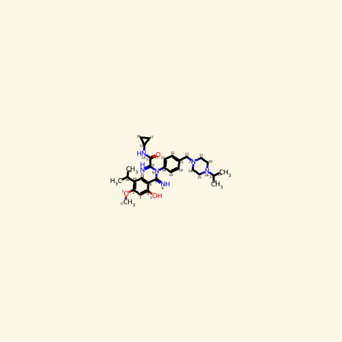 COc1cc(O)c(C(=N)N(C(=N)C(=O)NC2CC2)c2ccc(CN3CCN(C(C)C)CC3)cc2)cc1C(C)C